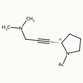 CC(=O)N1CCC[C@H]1C#CCN(C)C